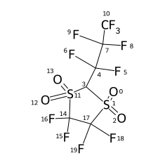 O=S1(=O)C(C(F)(F)C(F)(F)C(F)(F)F)S(=O)(=O)C(F)(F)C1(F)F